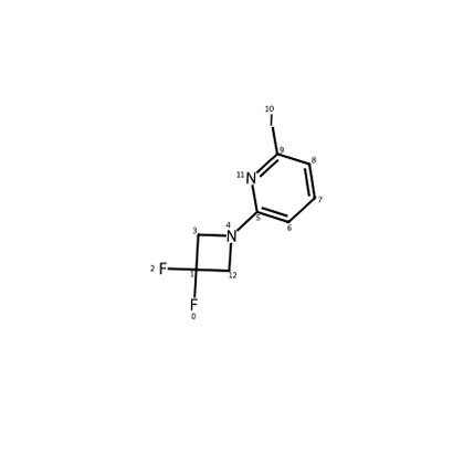 FC1(F)CN(c2cccc(I)n2)C1